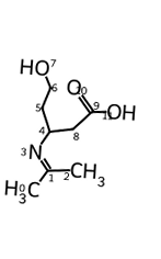 CC(C)=NC(CCO)CC(=O)O